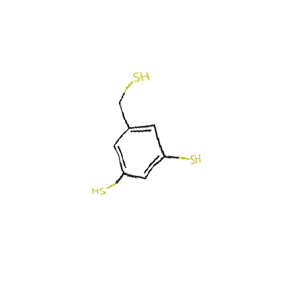 SCc1cc(S)cc(S)c1